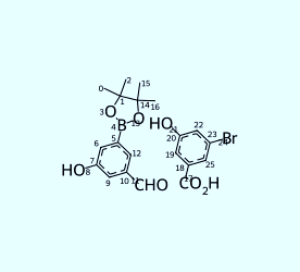 CC1(C)OB(c2cc(O)cc(C=O)c2)OC1(C)C.O=C(O)c1cc(O)cc(Br)c1